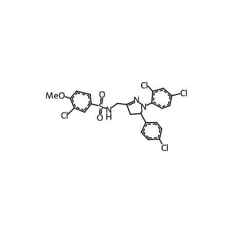 COc1ccc(S(=O)(=O)NCC2=NN(c3ccc(Cl)cc3Cl)C(c3ccc(Cl)cc3)C2)cc1Cl